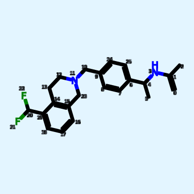 C=C(C)NC(C)c1ccc(CN2CCc3c(cccc3C(F)F)C2)cc1